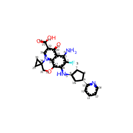 Nc1c(F)c(N[C@H]2CC[C@H](c3ccccn3)C2)c2c3c1c(=O)c(C(=O)O)cn3C1(CC1)CO2